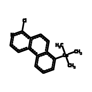 [CH3][Ge]([CH3])([CH3])[c]1cccc2c1ccc1c(Cl)nccc12